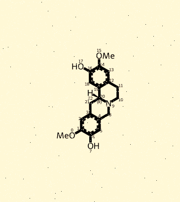 COc1cc2c(cc1O)CN1CCc3cc(OC)c(O)cc3[C@H]1C2